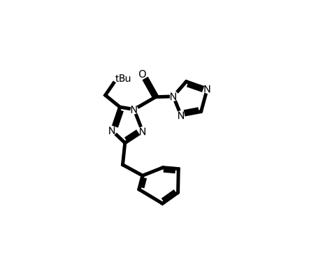 CC(C)(C)Cc1nc(Cc2ccccc2)nn1C(=O)n1cncn1